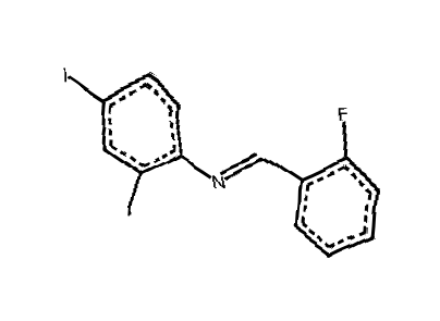 Cc1cc(I)ccc1/N=C/c1ccccc1F